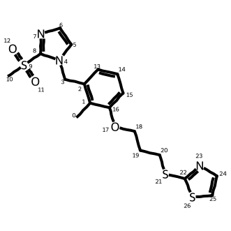 Cc1c(Cn2ccnc2S(C)(=O)=O)cccc1OCCCSc1nccs1